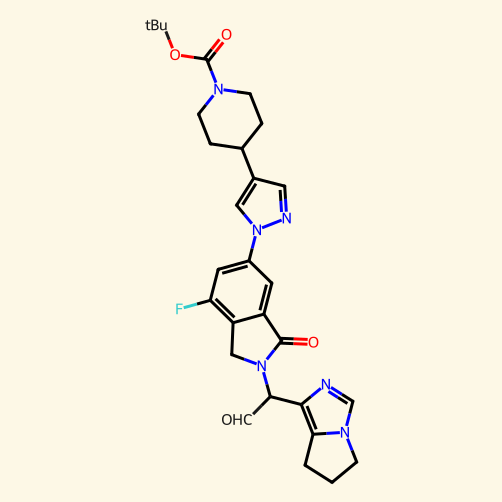 CC(C)(C)OC(=O)N1CCC(c2cnn(-c3cc(F)c4c(c3)C(=O)N(C(C=O)c3ncn5c3CCC5)C4)c2)CC1